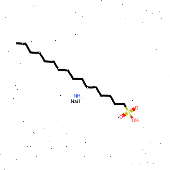 CCCCCCCCCCCCCCCCS(=O)(=O)O.N.[NaH]